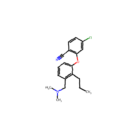 CCCc1c(CN(C)C)cccc1Oc1cc(Cl)ccc1C#N